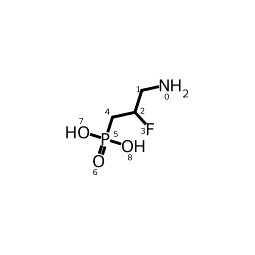 NCC(F)CP(=O)(O)O